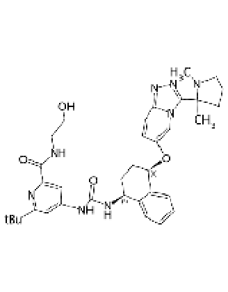 CN1CCCC1(C)c1nnc2ccc(O[C@@H]3CC[C@H](NC(=O)Nc4cc(C(=O)NCCO)nc(C(C)(C)C)c4)c4ccccc43)cn12